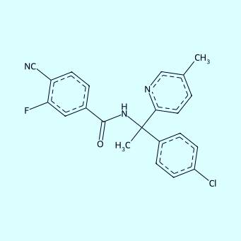 Cc1ccc(C(C)(NC(=O)c2ccc(C#N)c(F)c2)c2ccc(Cl)cc2)nc1